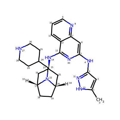 Cc1cc(Nc2cc3ncccc3c(N[C@@H]3C[C@H]4CC[C@@H](C3)N4CC3CCNCC3)n2)n[nH]1